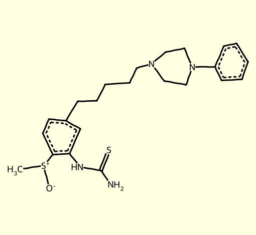 C[S+]([O-])c1ccc(CCCCCN2CCN(c3ccccc3)CC2)cc1NC(N)=S